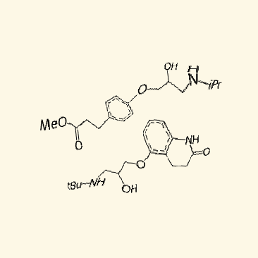 CC(C)(C)NCC(O)COc1cccc2c1CCC(=O)N2.COC(=O)CCc1ccc(OCC(O)CNC(C)C)cc1